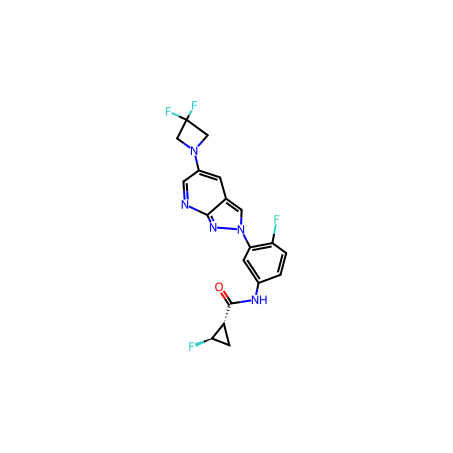 O=C(Nc1ccc(F)c(-n2cc3cc(N4CC(F)(F)C4)cnc3n2)c1)[C@@H]1C[C@H]1F